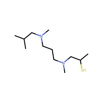 CC(C)CN(C)CCCN(C)CC(C)S